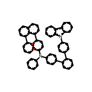 c1ccc(-c2cccc3cccc(-c4ccc(N(c5ccccc5)c5ccc(-c6ccccc6-c6ccc(-n7c8ccccc8c8ccccc87)cc6)cc5)cc4)c23)cc1